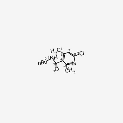 CCCCNC(=O)c1c(C)cc(Cl)nc1C